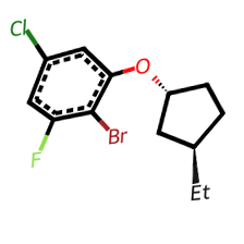 CC[C@@H]1CC[C@@H](Oc2cc(Cl)cc(F)c2Br)C1